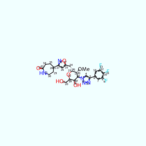 CO[C@@H]1[C@@H](n2cc(-c3cc(F)c(F)c(F)c3)nn2)[C@@H](O)[C@@H](CO)O[C@@H]1Cc1cc([C@H]2CCNC(=O)CC2)no1